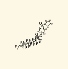 O=C(c1ccc(OS(=O)(=O)C(F)(F)C(F)(F)C(F)(F)C(F)(F)C(F)(F)C(F)(F)C(F)(F)C(F)(F)F)cc1)C1CCCC1